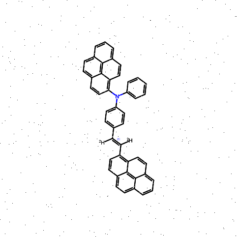 [2H]/C(=C(/[2H])c1ccc2ccc3cccc4ccc1c2c34)c1ccc(N(c2ccccc2)c2ccc3ccc4cccc5ccc2c3c45)cc1